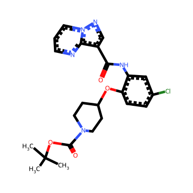 CC(C)(C)OC(=O)N1CCC(Oc2ccc(Cl)cc2NC(=O)c2cnn3cccnc23)CC1